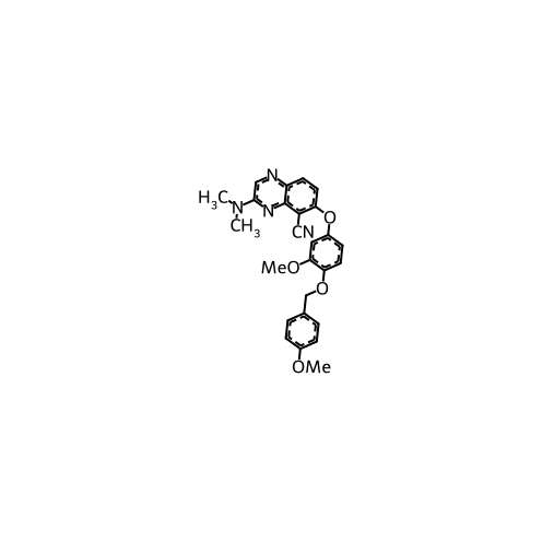 COc1ccc(COc2ccc(Oc3ccc4ncc(N(C)C)nc4c3C#N)cc2OC)cc1